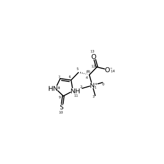 C[N+](C)(C)[C@H](Cc1c[nH]c(=S)[nH]1)C(=O)[O-]